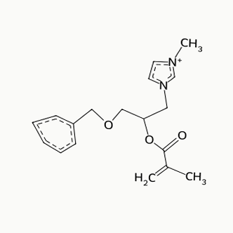 C=C(C)C(=O)OC(COCc1ccccc1)Cn1cc[n+](C)c1